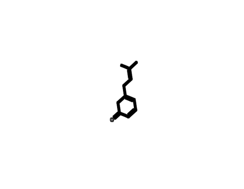 CC(C)=CCC1=CC=[C]C(=O)C1